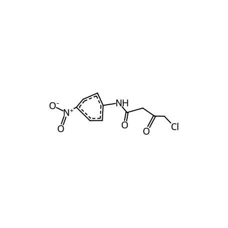 O=C(CCl)CC(=O)Nc1ccc([N+](=O)[O-])cc1